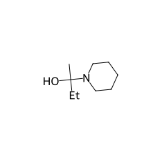 CCC(C)(O)N1CCCCC1